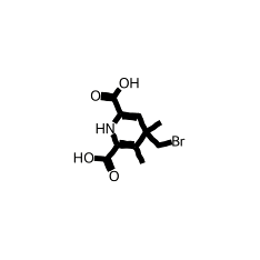 CC1=C(C(=O)O)NC(C(=O)O)=CC1(C)CBr